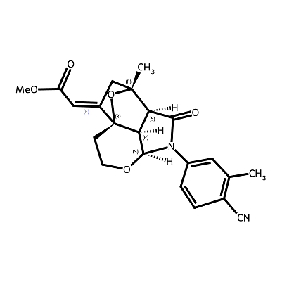 COC(=O)/C=C1\C[C@@]2(C)O[C@@]13CCO[C@H]1[C@@H]3[C@@H]2C(=O)N1c1ccc(C#N)c(C)c1